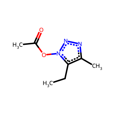 CCc1c(C)nnn1OC(C)=O